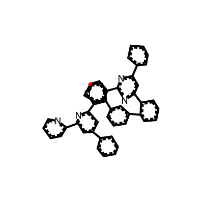 c1ccc(-c2cc(-c3ccccn3)nc(-c3ncccc3-c3cccc(-c4ccccc4-c4cc(-c5ccccc5)nc(-c5ccccc5)n4)c3)c2)cc1